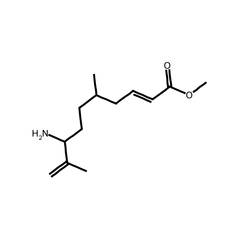 C=C(C)C(N)CCC(C)CC=CC(=O)OC